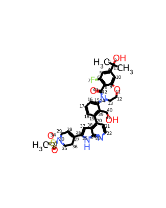 CC(C)(O)c1cc(F)c2c(c1)OCCN(c1cccc(-c3ccnc4[nH]c(C5=CCN(S(C)(=O)=O)CC5)cc34)c1CO)C2=O